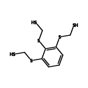 SCSc1cccc(SCS)c1SCS